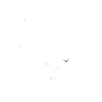 [C-]#[N+]c1cc(F)cc(-c2ccc3c(c2)[C@]2(C[C@@]4(CCCOC4)O3)N=C(N)N(C)C2=O)c1